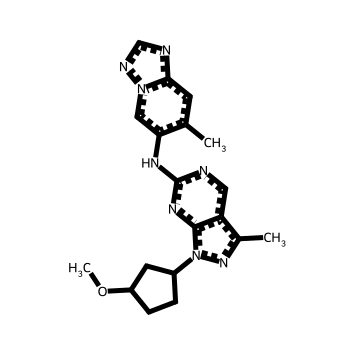 COC1CCC(n2nc(C)c3cnc(Nc4cn5ncnc5cc4C)nc32)C1